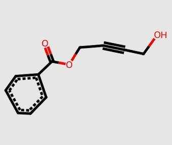 O=C(OCC#CCO)c1ccccc1